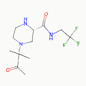 CC(=O)C(C)(C)N1CCN[C@H](C(=O)NCC(F)(F)F)C1